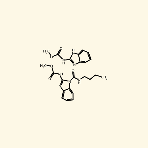 CCCCNC(=O)n1c(NC(=O)OC)nc2ccccc21.COC(=O)Nc1nc2ccccc2[nH]1